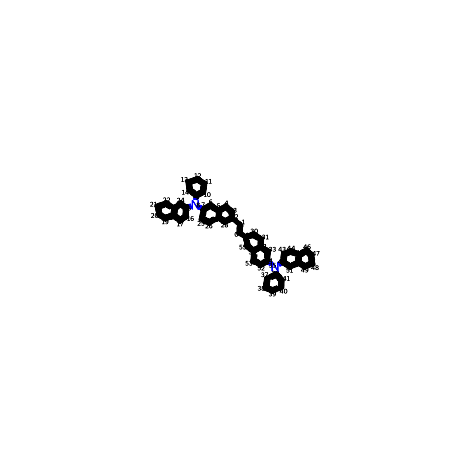 C(=Cc1ccc2cc(N(c3ccccc3)c3ccc4ccccc4c3)ccc2c1)c1ccc2cc(N(c3ccccc3)c3ccc4ccccc4c3)ccc2c1